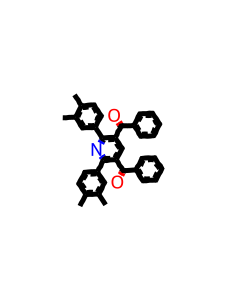 Cc1ccc(-c2nc(-c3ccc(C)c(C)c3)c(C(=O)c3ccccc3)cc2C(=O)c2ccccc2)cc1C